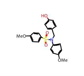 COc1ccc(N(Cc2ccc(O)cc2)S(=O)(=O)c2ccc(OC)cc2)cc1